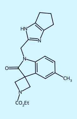 CCOC(=O)N1CC2(C1)C(=O)N(Cc1nc3c([nH]1)CCC3)c1ccc(C)cc12